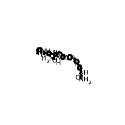 Cc1cccc(NC(=O)c2ccc(-c3nn4c(c3C(N)=O)Nc3ccc(N5CCN(CC6CCN(c7ccc(NCCC(N)=O)cc7)CC6)CC5)cc3CC4)cc2)n1